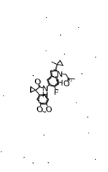 C[C@@H](O)Cn1c(C2(C)CC2)cc2cc(NC(=O)C3(c4ccc5c(c4)OCO5)CC3)c(F)cc21